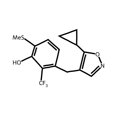 CSc1ccc(Cc2cnoc2C2CC2)c(C(F)(F)F)c1O